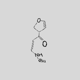 CCC(C)N/C=C\C(=O)C1C=COC1